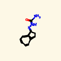 NC(=O)NN=C1CC=C2C=CC=CC=C21